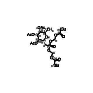 CC(=O)O[C@@H]1[C@H](OC(C)=O)[C@H](C)O[C@H](CP(=O)(OCOC(=O)C(C)(C)C)OCOC(=O)C(C)(C)C)[C@H]1OC(C)=O